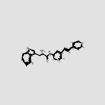 N[C@@H](Cc1c[nH]c2ccccc12)C(=O)Nc1cncc(/C=C/c2ccncc2)c1